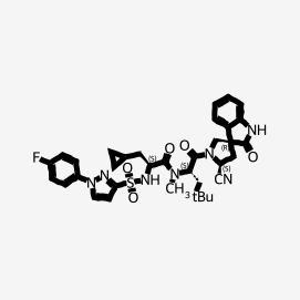 CN(C(=O)[C@H](CC1CC1)NS(=O)(=O)c1ccn(-c2ccc(F)cc2)n1)[C@@H](CC(C)(C)C)C(=O)N1C[C@]2(C[C@H]1C#N)C(=O)Nc1ccccc12